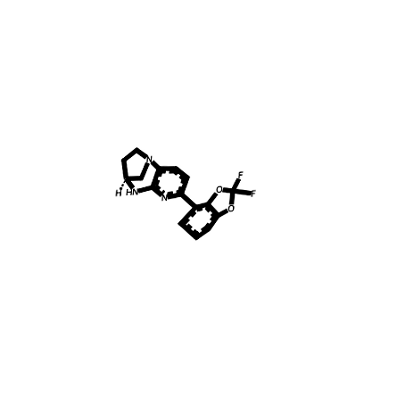 FC1(F)Oc2cccc(-c3ccc4c(n3)N[C@H]3CCN4C3)c2O1